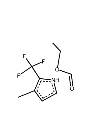 CCOC=O.Cc1cc[nH]c1C(F)(F)F